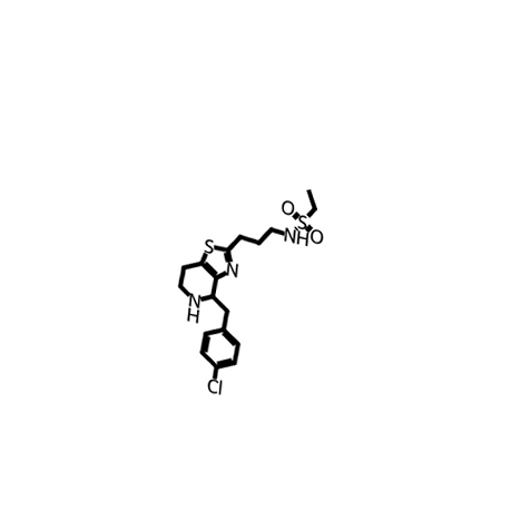 CCS(=O)(=O)NCCCc1nc2c(s1)CCNC2Cc1ccc(Cl)cc1